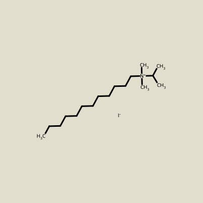 CCCCCCCCCCCC[N+](C)(C)C(C)C.[I-]